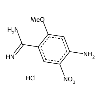 COc1cc(N)c([N+](=O)[O-])cc1C(=N)N.Cl